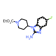 CCOC(=O)N1CCC(n2c(N)nc3cc(F)ccc32)CC1